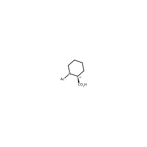 CC(=O)N1CCCC[C@H]1C(=O)O